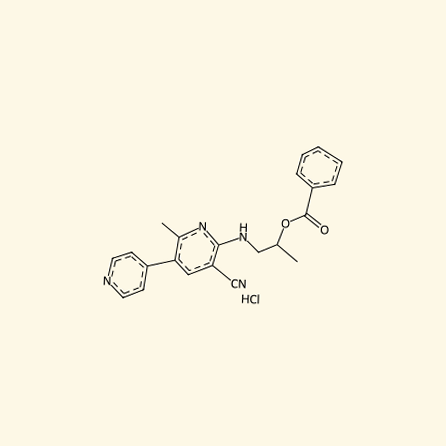 Cc1nc(NCC(C)OC(=O)c2ccccc2)c(C#N)cc1-c1ccncc1.Cl